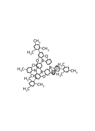 Cc1cc(C)c(-c2cc3c4c(c2)Oc2cc5c(cc2B4c2ccccc2O3)B2c3cc4c(cc3N(c3c(C)cc(C)cc3C)c3cc(-c6c(C)cc(C)cc6C)cc(c32)O5)Oc2cc(-c3c(C)cc(C)cc3C)cc3c2B4c2ccccc2O3)c(C)c1